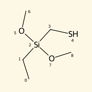 CC[Si](CS)(OC)OC